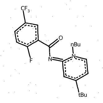 CCCCn1ccc(C(C)(C)C)cc1=NC(=O)c1cc(C(F)(F)F)ccc1F